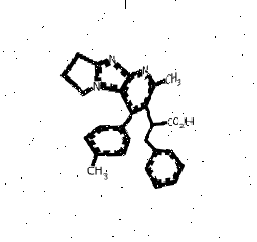 Cc1ccc(-c2c(C(Cc3ccccc3)C(=O)O)c(C)nc3nc4n(c23)CCC4)cc1